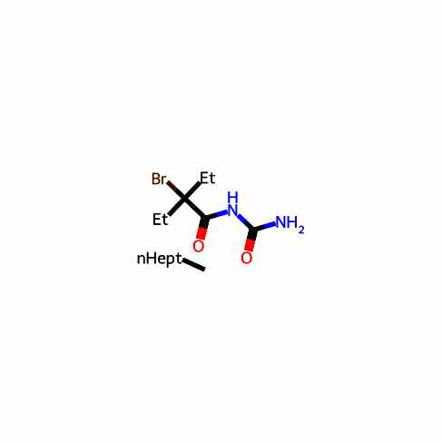 CCC(Br)(CC)C(=O)NC(N)=O.CCCCCCCC